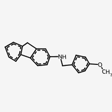 COc1ccc(CNc2ccc3c(c2)Cc2ccccc2-3)cc1